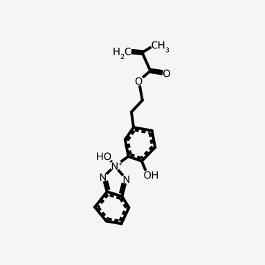 C=C(C)C(=O)OCCc1ccc(O)c([N+]2(O)N=c3ccccc3=N2)c1